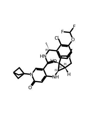 C[C@@H](NC(=O)c1cn(C23CC(C2)C3)c(=O)cc1N[C@H]1[C@@H]2CN(C)C[C@@H]21)c1cccc(OC(F)F)c1Cl